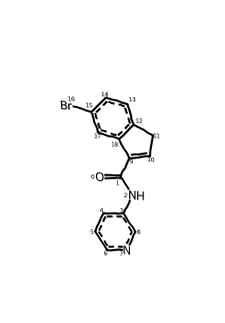 O=C(Nc1cccnc1)C1=CCc2ccc(Br)cc21